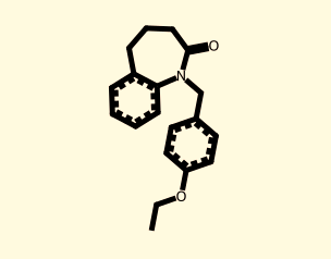 CCOc1ccc(CN2C(=O)CCCc3ccccc32)cc1